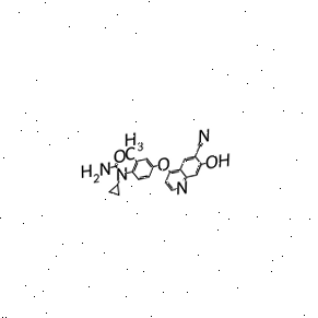 Cc1cc(Oc2ccnc3cc(O)c(C#N)cc23)ccc1N(C(N)=O)C1CC1